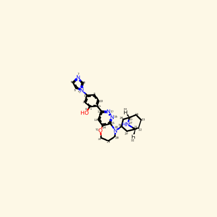 Oc1cc(-n2ccnc2)ccc1-c1cc2c(nn1)N(C1C[C@H]3CCC[C@@H](C1)N3)CCCO2